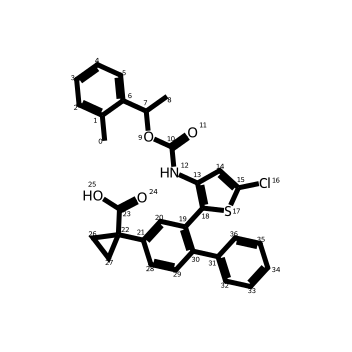 Cc1ccccc1C(C)OC(=O)Nc1cc(Cl)sc1-c1cc(C2(C(=O)O)CC2)ccc1-c1ccccc1